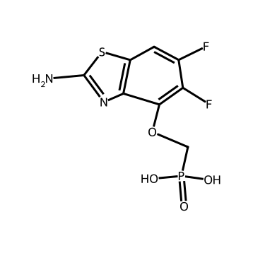 Nc1nc2c(OCP(=O)(O)O)c(F)c(F)cc2s1